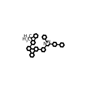 CC1(C)c2ccccc2-c2ccc(-c3cccc4c5ccccc5c5cc(-c6cccc(-c7cc(-c8ccc(-c9ccccc9)cc8)nc(-c8ccccc8)n7)c6)ccc5c34)cc21